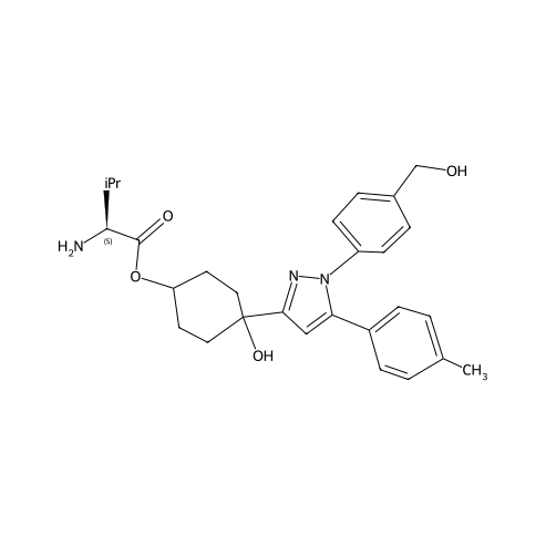 Cc1ccc(-c2cc(C3(O)CCC(OC(=O)[C@@H](N)C(C)C)CC3)nn2-c2ccc(CO)cc2)cc1